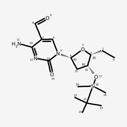 CC[C@H]1O[C@@H](n2cc(C=O)c(N)nc2=O)C[C@H]1O[Si](C)(C)C(C)(C)C